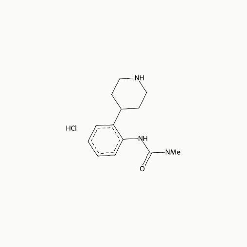 CNC(=O)Nc1ccccc1C1CCNCC1.Cl